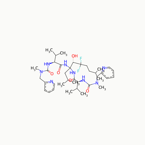 CC(C)CCC(F)(F)[C@@H](O)C(CC(C)C)(NC(=O)[C@@H](NC(=O)N(C)Cc1ccccn1)C(C)C)NC(=O)[C@@H](NC(=O)N(C)Cc1ccccn1)C(C)C